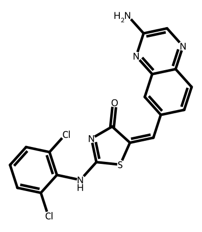 Nc1cnc2ccc(C=C3SC(Nc4c(Cl)cccc4Cl)=NC3=O)cc2n1